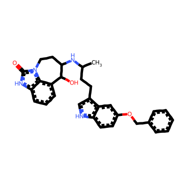 CC(CCc1c[nH]c2ccc(OCc3ccccc3)cc12)NC1CCn2c(=O)[nH]c3cccc(c32)C1O